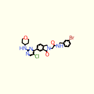 O=C(CN1Cc2ccc(-c3nc(NC4CCOCC4)ncc3Cl)cc2C1=O)NCc1cccc(Br)c1